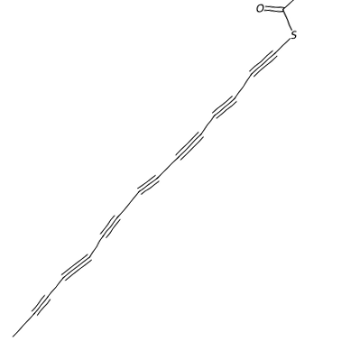 CC#CC#CC#CC#CC#CC#CC#CSC(=O)CCC